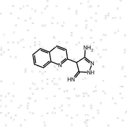 N=C1NN=C(N)C1c1ccc2ccccc2n1